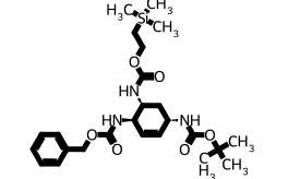 CC(C)(C)OC(=O)N[C@@H]1C=C[C@@H](NC(=O)OCc2ccccc2)[C@H](NC(=O)OCC[Si](C)(C)C)C1